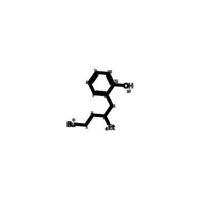 CCC(C)CCC(CC)Cc1ccccc1O